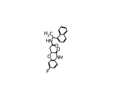 CC(NC(=O)CC1Oc2cc(F)ccc2NC1=O)c1cccc2ccccc12